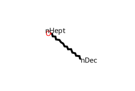 CCCCCCCCCCCCCCCCCCCCCCCCCCOCCCCCCC